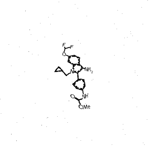 COC(=O)Nc1ccc(-c2c(N)c3ccc(OC(F)F)cc3n2CC2CC2)cc1